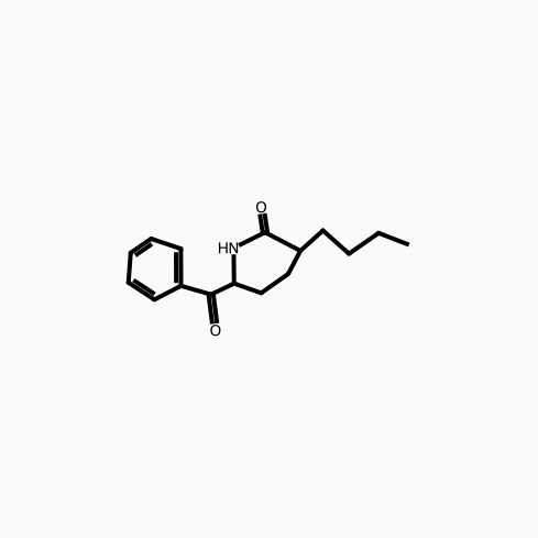 CCCCC1CCC(C(=O)c2ccccc2)NC1=O